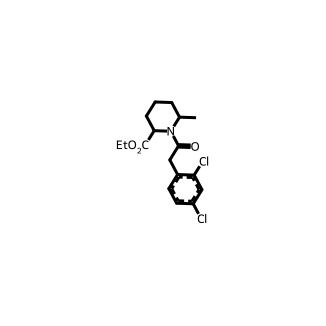 CCOC(=O)C1CCCC(C)N1C(=O)Cc1ccc(Cl)cc1Cl